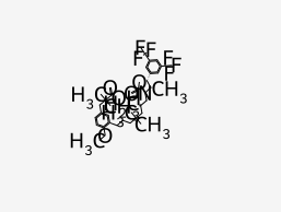 C=C(CN1C(=O)O[C@H](c2cc(C(F)(F)F)cc(C(F)(F)F)c2)[C@@H]1C)CC(C)(C)CCCc1cc(CC(C)(C)C(=O)O)ccc1OC